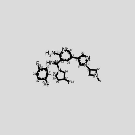 CN1CC(n2cc(-c3cnc(N)c(C(=N)N4CC(F)C[C@@H]4c4cc(F)ccc4F)c3)cn2)C1